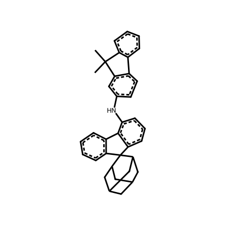 CC1(C)c2ccccc2-c2ccc(Nc3cccc4c3-c3ccccc3C43C4CC5CC(C4)CC3C5)cc21